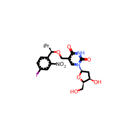 CC(C)[C@@H](OCc1cn([C@H]2C[C@@H](O)[C@@H](CO)O2)c(=O)[nH]c1=O)c1ccc(I)cc1[N+](=O)[O-]